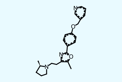 Cc1oc(-c2ccc(OCc3cccnc3)cc2)nc1CCN1CCC[C@H]1C